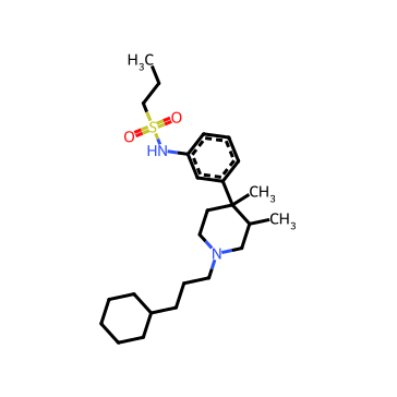 CCCS(=O)(=O)Nc1cccc(C2(C)CCN(CCCC3CCCCC3)CC2C)c1